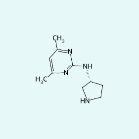 Cc1cc(C)nc(N[C@@H]2CCNC2)n1